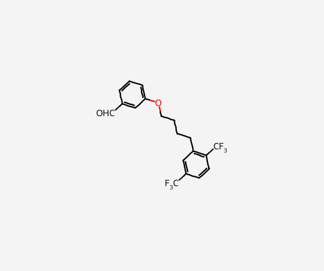 O=Cc1cccc(OCCCCc2cc(C(F)(F)F)ccc2C(F)(F)F)c1